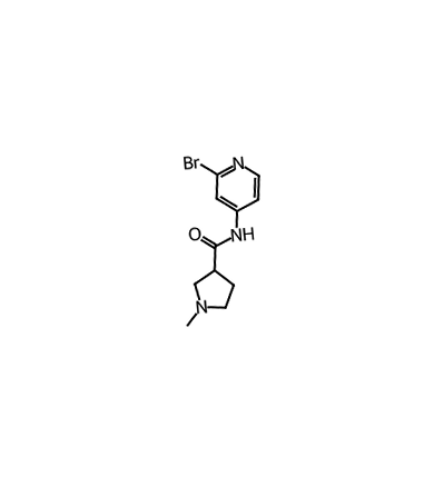 CN1CCC(C(=O)Nc2ccnc(Br)c2)C1